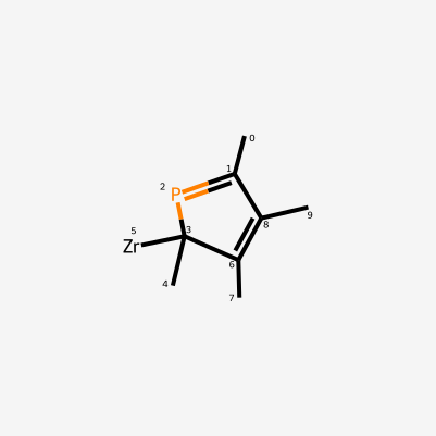 CC1=P[C](C)([Zr])C(C)=C1C